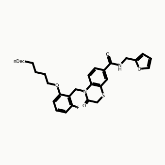 CCCCCCCCCCCCCCOc1cccc(F)c1CN1C(=O)CSc2cc(C(=O)NCc3ccco3)ccc21